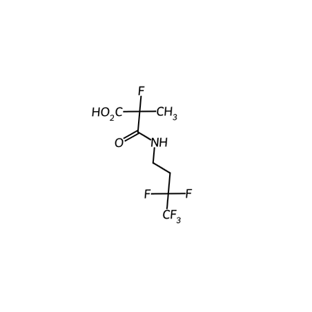 CC(F)(C(=O)O)C(=O)NCCC(F)(F)C(F)(F)F